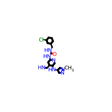 Cn1cc(Nc2cnc(NC(=O)NCc3cccc(Cl)c3)cc2C=N)cn1